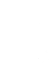 CCOc1cc(C(=O)OC)cc(-c2nnn[nH]2)c1